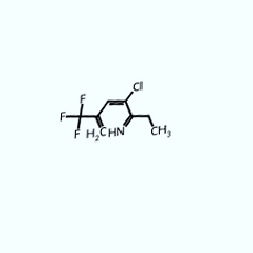 C=C(/C=C(/Cl)C(=N)CC)C(F)(F)F